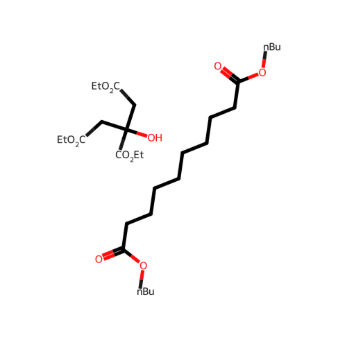 CCCCOC(=O)CCCCCCCCC(=O)OCCCC.CCOC(=O)CC(O)(CC(=O)OCC)C(=O)OCC